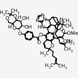 COC(=O)/C(C)=C\CC12OC(C)(C)[C@H]3CC(C1=O)C1C4=C(Nc5ncnn51)c1c(OC(=O)c5ccc(O[C@@H]6O[C@@H]7COC(C)(C)O[C@H]7[C@H](O)[C@H]6O)cc5)c5c(c(CC=C(C)C)c1OC432)OC(C)(CCC=C(C)C)C=C5